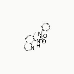 O=S1(=O)NC2=C(C=CC3C=CC=NC23)CN1c1ccccc1